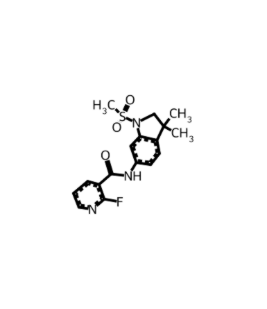 CC1(C)CN(S(C)(=O)=O)c2cc(NC(=O)c3cccnc3F)ccc21